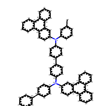 Cc1cccc(N(c2ccc(-c3ccc(N(c4ccc(-c5ccccc5)cc4)c4ccc5c6ccccc6c6ccccc6c5c4)cc3)cc2)c2ccc3c4ccccc4c4ccccc4c3c2)c1